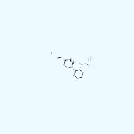 CCCCC(CC)C(C#N)c1ccccc1-c1ccc(C=CC(=O)O)cc1